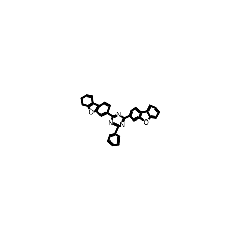 C1=Cc2c(oc3cc(-c4nc(-c5ccccc5)nc(-c5ccc6c(c5)oc5ccccc56)n4)ccc23)CC1